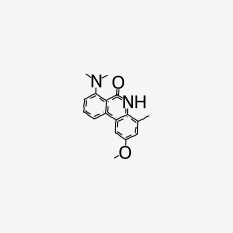 COc1cc(C)c2[nH]c(=O)c3c(N(C)C)cccc3c2c1